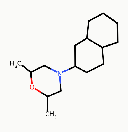 CC1CN(C2CCC3CCCCC3C2)CC(C)O1